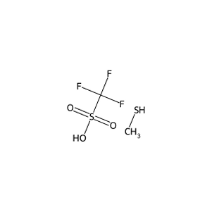 CS.O=S(=O)(O)C(F)(F)F